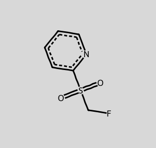 O=S(=O)(CF)c1ccccn1